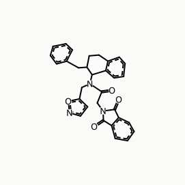 O=C1c2ccccc2C(=O)N1CC(=O)N(Cc1ccno1)C1c2ccccc2CCC1Cc1ccccc1